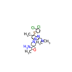 Cc1cc(N2CCC3(CC2)CO[C@@H](C)[C@H]3N)n2cc(CN(C)C)nc2c1Sc1cccc(Cl)c1Cl